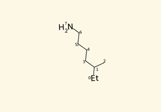 CCC(C)CC[CH]CN